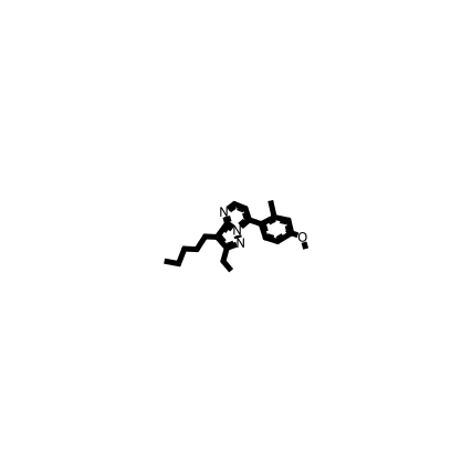 CCCCCc1c(CC)nn2c(-c3ccc(OC)cc3C)ccnc12